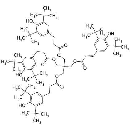 CC(C)(C)c1cc(C=CC(=O)OCC(COC(=O)CCc2cc(C(C)(C)C)c(O)c(C(C)(C)C)c2)(COC(=O)CCc2cc(C(C)(C)C)c(O)c(C(C)(C)C)c2)COC(=O)CCc2cc(C(C)(C)C)c(O)c(C(C)(C)C)c2)cc(C(C)(C)C)c1O